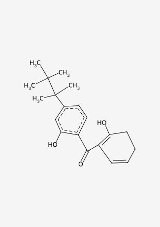 CC(C)(C)C(C)(C)c1ccc(C(=O)C2=C(O)CCC=C2)c(O)c1